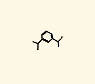 CC(F)c1c[c]cc(C(C)F)c1